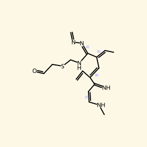 C=C\C(=C/C(=C\C)C(=N/N=C)/NCSCC=O)C(=N)/C=C\NC